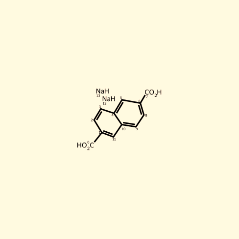 O=C(O)c1ccc2cc(C(=O)O)ccc2c1.[NaH].[NaH]